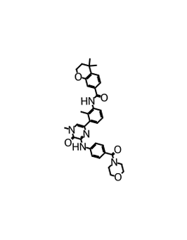 Cc1c(NC(=O)c2ccc3c(c2)OCCC3(C)C)cccc1-c1cn(C)c(=O)c(Nc2ccc(C(=O)N3CCOCC3)cc2)n1